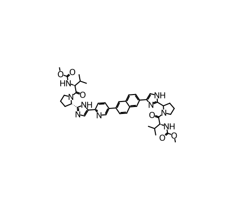 COC(=O)N[C@H](C(=O)N1CCCC1c1nc(-c2ccc3cc(-c4ccc(-c5cnc([C@@H]6CCCN6C(=O)[C@@H](NC(=O)OC)C(C)C)[nH]5)nc4)ccc3c2)c[nH]1)C(C)C